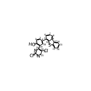 Oc1ccc(-c2cccc3c2sc2ccccc23)cc1-c1nc(Cl)ncc1Cl